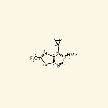 CNc1cnc2sc(C(F)(F)F)nc2c1C1CC1